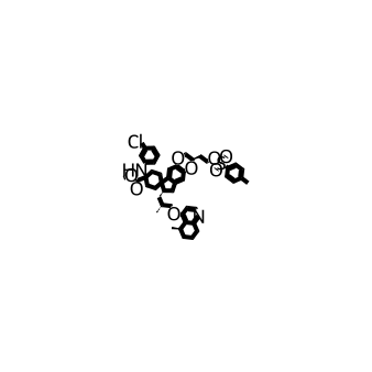 COC(=O)C1(Nc2cccc(Cl)c2)CCC2(CC1)c1cc3c(cc1C[C@@H]2C[C@@H](C)COc1ccnc2c1[C@H](C)CCC2)O[C@H](CCOS(=O)(=O)c1ccc(C)cc1)CO3